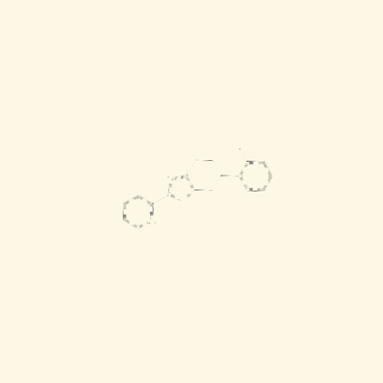 Clc1ccccc1C1CCc2nc(-c3ccccn3)oc2C1